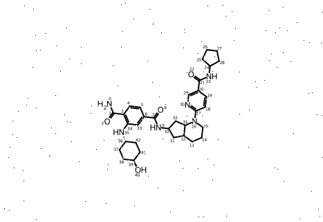 NC(=O)c1ccc(C(=O)NC2CC3CCCN(c4ccc(C(=O)NC5CCCC5)cn4)C3C2)cc1N[C@H]1CC[C@H](O)CC1